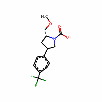 COC[C@H]1CC(c2ccc(C(F)(F)F)cc2)CN1C(=O)O